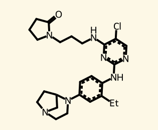 CCc1cc(N2CCN3CCC2C3)ccc1Nc1ncc(Cl)c(NCCCN2CCCC2=O)n1